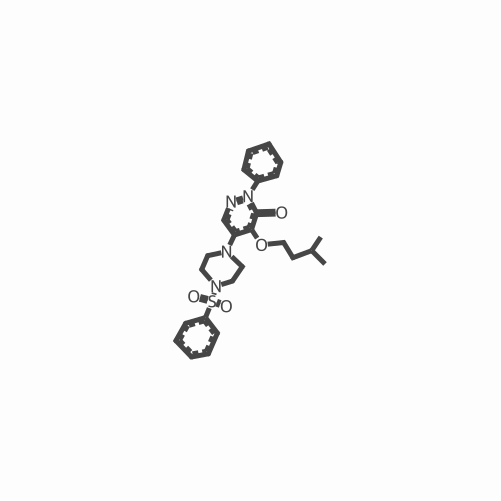 CC(C)CCOc1c(N2CCN(S(=O)(=O)c3ccccc3)CC2)cnn(-c2ccccc2)c1=O